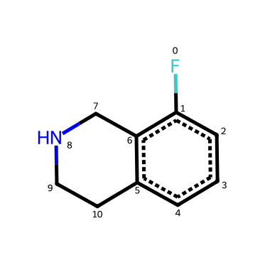 Fc1cccc2c1CNCC2